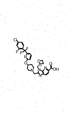 O=C(O)c1ccc2nc(CN3CCC(Oc4cccc(C(F)(F)c5ccc(Cl)cc5F)n4)CC3)n(C[C@@H]3CCO3)c2n1